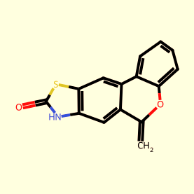 C=C1Oc2ccccc2-c2cc3sc(=O)[nH]c3cc21